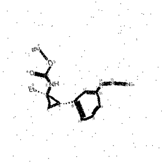 CC[C@@]1(NC(=O)OC(C)(C)C)C[C@H]1c1cccc(N=[N+]=[N-])c1